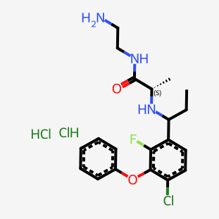 CCC(N[C@@H](C)C(=O)NCCN)c1ccc(Cl)c(Oc2ccccc2)c1F.Cl.Cl